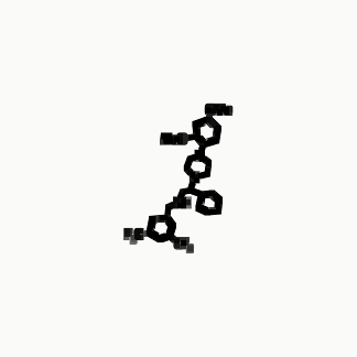 COc1ccc(N2CCN(C(CNCc3cc(C(F)(F)F)cc(C(F)(F)F)c3)c3ccccc3)CC2)c(OC)c1